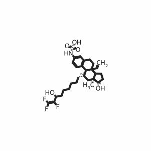 C=CC12CCc3cc(NS(=O)(=O)O)ccc3C1[C@@H](CCCCCCC(O)C(F)=C(F)F)C[C@@]1(C)C2CC[C@@H]1O